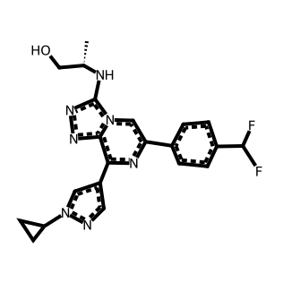 C[C@@H](CO)Nc1nnc2c(-c3cnn(C4CC4)c3)nc(-c3ccc(C(F)F)cc3)cn12